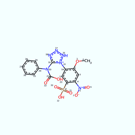 COc1cc([N+](=O)[O-])c(S(=O)(=O)O)cc1-[n+]1[nH]nnc1N(C(=O)O)c1ccccc1